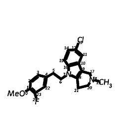 COc1ccc(CCn2c3c(c4cc(Cl)ccc42)CN(C)CC3)cc1F